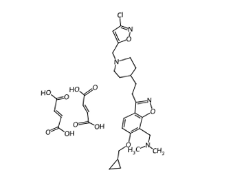 CN(C)Cc1c(OCC2CC2)ccc2c(CCC3CCN(Cc4cc(Cl)no4)CC3)noc12.O=C(O)C=CC(=O)O.O=C(O)C=CC(=O)O